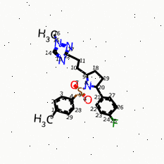 Cc1ccc(S(=O)(=O)N2C(CCc3ncn(C)n3)CCC2c2ccc(F)cc2)cc1